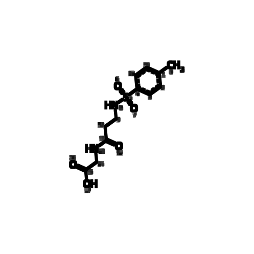 Cc1ccc(S(=O)(=O)NCCC(=O)NCC(=O)O)cc1